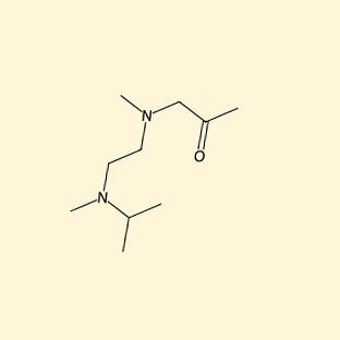 CC(=O)CN(C)CCN(C)C(C)C